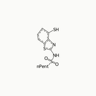 CCCCCS(=O)(=O)Nc1nc2c(S)cccc2s1